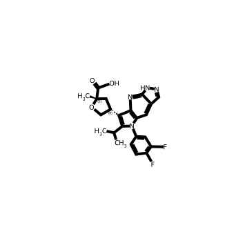 CC(C)c1c([C@@H]2CO[C@](C)(C(=O)O)C2)c2nc3[nH]ncc3cc2n1-c1ccc(F)c(F)c1